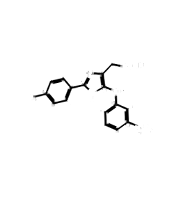 CCOC(=O)Cc1nc(-c2ccc(Cl)cc2)oc1Oc1cccc([N+](=O)[O-])c1